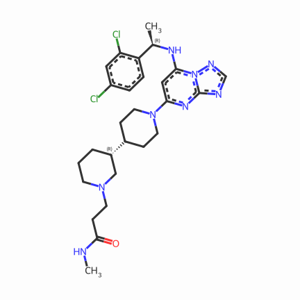 CNC(=O)CCN1CCC[C@H](C2CCN(c3cc(N[C@H](C)c4ccc(Cl)cc4Cl)n4ncnc4n3)CC2)C1